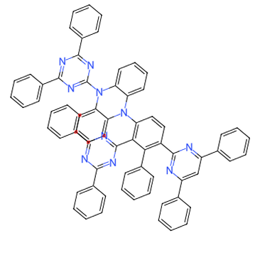 c1ccc(-c2cc(-c3ccccc3)nc(-c3ccc(N4c5ccccc5N(c5nc(-c6ccccc6)nc(-c6ccccc6)n5)c5ccccc54)c(-c4nc(-c5ccccc5)nc(-c5ccccc5)n4)c3-c3ccccc3)n2)cc1